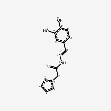 O=C(Cn1cccn1)N/N=C/c1ccc(O)c(O)c1